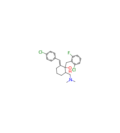 CN(C)CC1CCCC(=Cc2ccc(Cl)cc2)C1(O)Cc1c(F)cccc1Cl